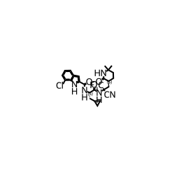 CC1(C)CC[C@@H](CC(C#N)(NC(=O)[C@H](CC2CC2)NC(=O)c2cc3cccc(Cl)c3[nH]2)C(F)(F)F)C(=O)N1